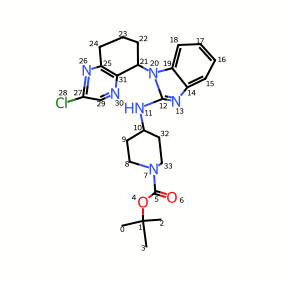 CC(C)(C)OC(=O)N1CCC(Nc2nc3ccccc3n2C2CCCc3nc(Cl)cnc32)CC1